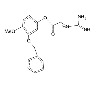 COc1ccc(OC(=O)CNC(=N)N)cc1OCc1ccccc1